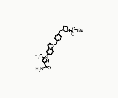 Cc1cc(C(N)=O)nn1-c1ccc2c(ccn2Cc2ccc(CC3CCN(C(=O)OC(C)(C)C)C3)cc2)c1